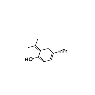 CCCC1=CC=C(O)C(=C(C)C)C1